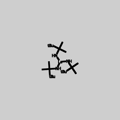 CC(C)(C)C(C)(C)[NH][La]([NH]C(C)(C)C(C)(C)C)[NH]C(C)(C)C(C)(C)C